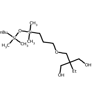 CCCC[Si](C)(C)O[Si](C)(C)CCCOCC(CC)(CO)CO